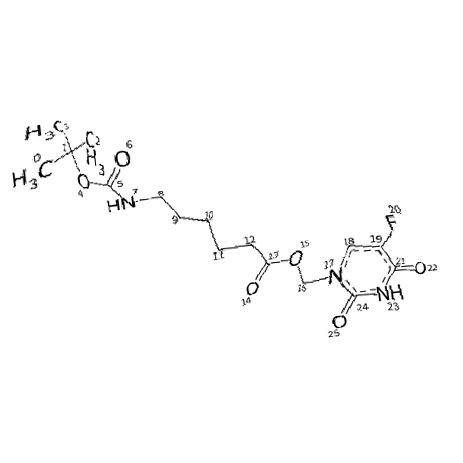 CC(C)(C)OC(=O)NCCCCCC(=O)OCn1cc(F)c(=O)[nH]c1=O